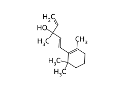 C=CC(C)(O)C=CC1=C(C)CCCC1(C)C